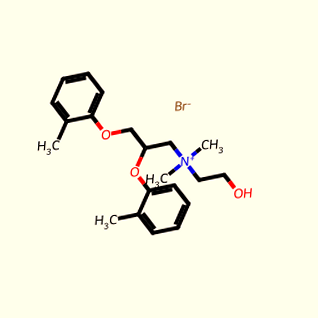 Cc1ccccc1OCC(C[N+](C)(C)CCO)Oc1ccccc1C.[Br-]